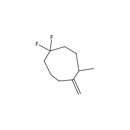 C=C1CCCC(F)(F)CCC1C